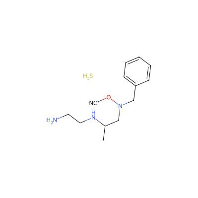 CC(CN(Cc1ccccc1)OC#N)NCCN.S